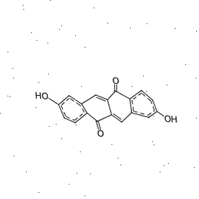 O=C1C2=Cc3cc(O)ccc3C(=O)C2=Cc2cc(O)ccc21